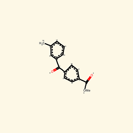 COC(=O)c1ccc(C(=O)c2cccc(C)c2)cc1